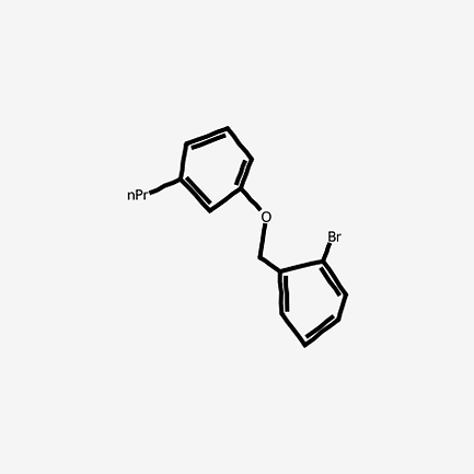 CCCc1cccc(OCc2ccccc2Br)c1